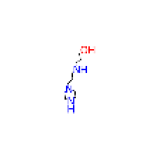 OCCCNCCCN1CCNCC1